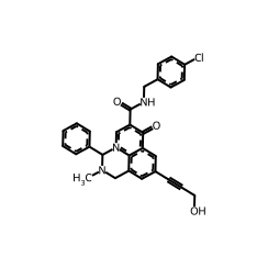 CN1Cc2cc(C#CCO)cc3c(=O)c(C(=O)NCc4ccc(Cl)cc4)cn(c23)C1c1ccccc1